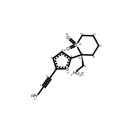 CCCC#Cc1ccc([C@@]2(CC(=O)O)CCCCS2(=O)=O)s1